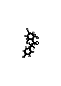 Cc1ccc(C(C)(C)C(=O)c2c(C)cc(C)cc2C)cc1